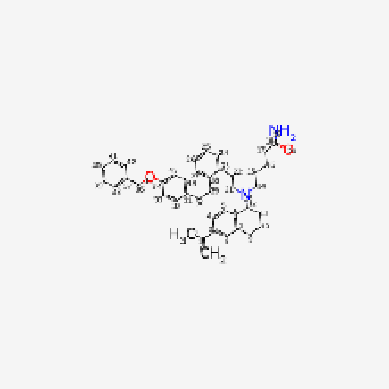 C=C(C)c1ccc2c(c1)CCCC2N(CCCCC(N)=O)CCc1ccccc1CCc1ccc(OCc2ccccc2)cc1